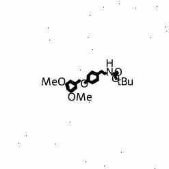 COc1cc(COc2ccc(CCNC(=O)OC(C)(C)C)cc2)cc(OC)c1